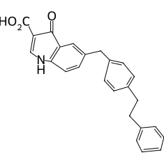 O=C(O)c1c[nH]c2ccc(Cc3ccc(CCc4ccccc4)cc3)cc2c1=O